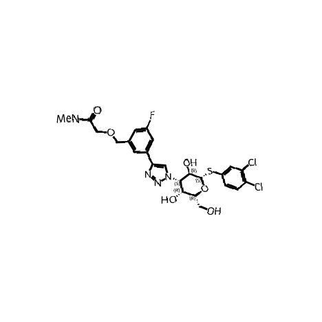 CNC(=O)COCc1cc(F)cc(-c2cn([C@H]3[C@@H](O)[C@@H](CO)O[C@@H](Sc4ccc(Cl)c(Cl)c4)[C@@H]3O)nn2)c1